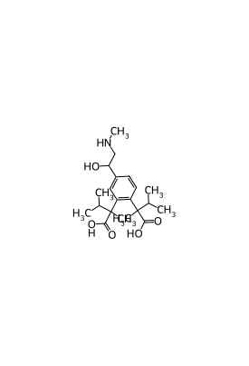 CNCC(O)c1ccc(C(C)(C(=O)O)C(C)C)c(C(C)(C(=O)O)C(C)C)c1